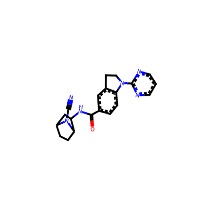 N#CN1C2CCC1C(NC(=O)c1ccc3c(c1)CCN3c1ncccn1)C2